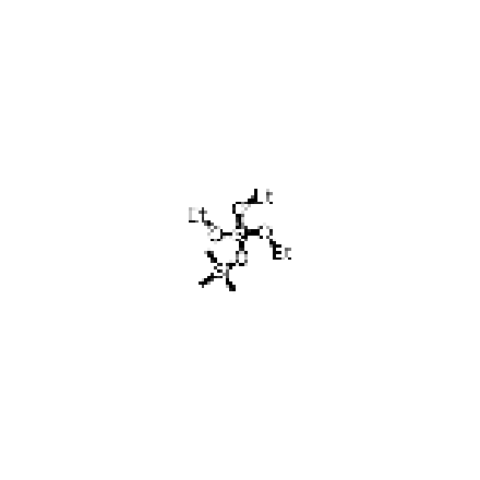 CCO[Si](OCC)(OCC)O[Si](C)(C)C